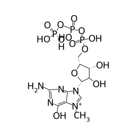 C[n+]1cn([C@@H]2O[C@H](COP(=O)(O)OP(=O)(O)OP(=O)(O)O)[C@H](O)C2O)c2nc(N)nc(O)c21